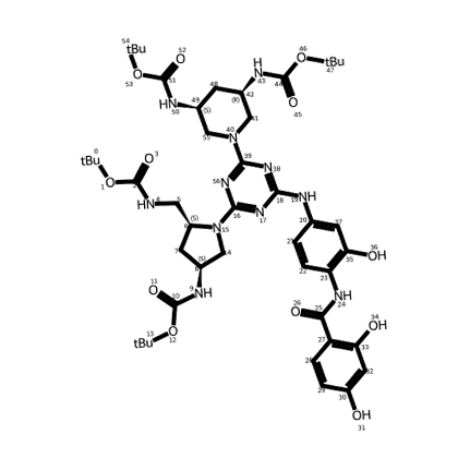 CC(C)(C)OC(=O)NC[C@@H]1C[C@H](NC(=O)OC(C)(C)C)CN1c1nc(Nc2ccc(NC(=O)c3ccc(O)cc3O)c(O)c2)nc(N2C[C@H](NC(=O)OC(C)(C)C)C[C@H](NC(=O)OC(C)(C)C)C2)n1